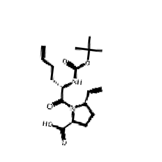 C=CCC[C@H](NC(=O)OC(C)(C)C)C(=O)N1[C@@H](C=C)CC[C@H]1C(=O)O